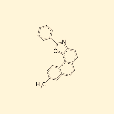 Cc1ccc2c(ccc3ccc4nc(-c5ccccc5)oc4c32)c1